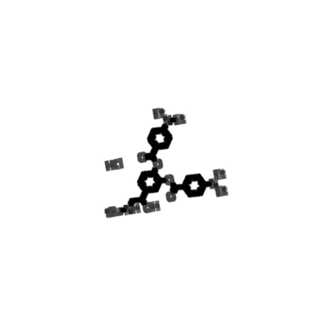 CCN(CC)c1ccc(C(=O)Oc2ccc(C(O)CNC(C)(C)C)cc2OC(=O)c2ccc(N(CC)CC)cc2)cc1.Cl